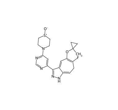 CC1(OC2=C(F)CC=c3[nH]nc(-c4cc(N5CC[S+]([O-])CC5)ncn4)c3=C2)CC1